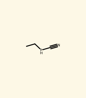 CCPC#N